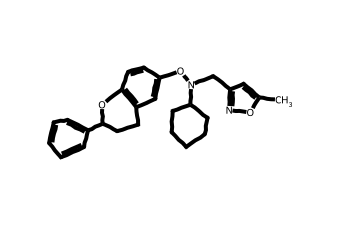 Cc1cc(CN(Oc2ccc3c(c2)CCC(c2ccccc2)O3)C2CCCCC2)no1